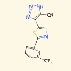 N#Cc1[nH]nnc1-c1cnc(-c2cccc(C(F)(F)F)c2)s1